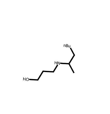 CCCCCC(C)NCCCO